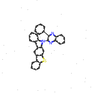 c1ccc(-c2nc3ccccc3nc2-n2c3ccccc3c3cc4c(cc32)sc2ccccc24)cc1